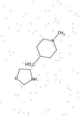 C1COCN1.CN1CCC(C(=O)O)CC1